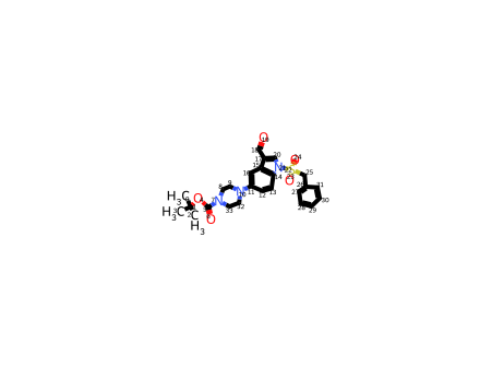 CC(C)(C)OC(=O)N1CCN(c2ccc3c(c2)c(C=O)cn3S(=O)(=O)Cc2ccccc2)CC1